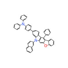 c1ccc(-c2c3c(cc4c2c2ccc(-c5ccc(N(c6ccccc6)c6ccccc6)cc5)cc2n4-c2ccc4ccccc4c2)oc2ccccc23)cc1